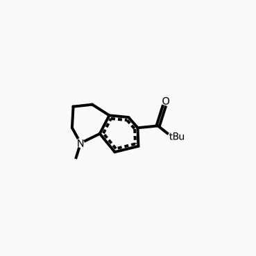 CN1CCCc2cc(C(=O)C(C)(C)C)ccc21